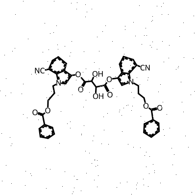 N#Cc1cccc2c(OC(=O)C(O)C(O)C(=O)Oc3cn(CCCOC(=O)c4ccccc4)c4c(C#N)cccc34)cn(CCCOC(=O)c3ccccc3)c12